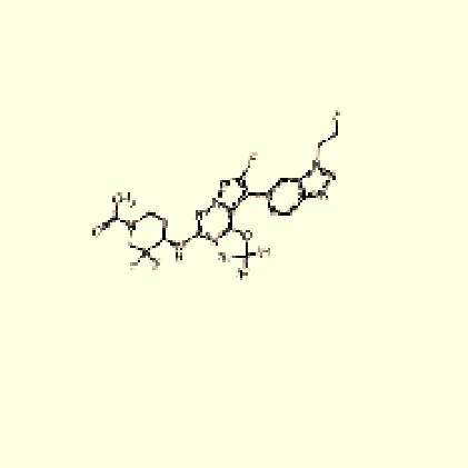 [2H]C([2H])([2H])Oc1nc(N[C@@H]2CCN(C(C)=O)CC2(F)F)nn2cc(F)c(-c3ccc4nnn(CCF)c4c3)c12